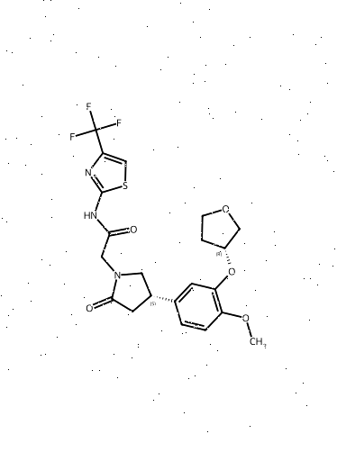 COc1ccc([C@@H]2CC(=O)N(CC(=O)Nc3nc(C(F)(F)F)cs3)C2)cc1O[C@@H]1CCOC1